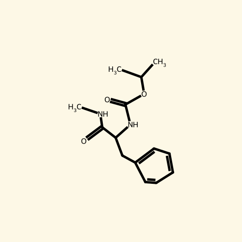 CNC(=O)C(Cc1ccccc1)NC(=O)OC(C)C